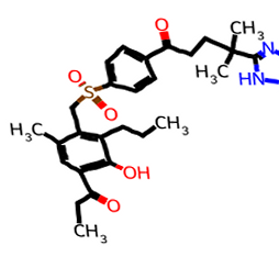 CCCc1c(O)c(C(=O)CC)cc(C)c1CS(=O)(=O)c1ccc(C(=O)CCC(C)(C)c2nnn[nH]2)cc1